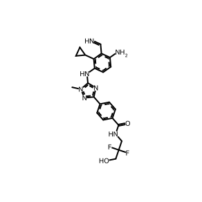 Cn1nc(-c2ccc(C(=O)NCC(F)(F)CO)cc2)nc1Nc1ccc(N)c(C=N)c1C1CC1